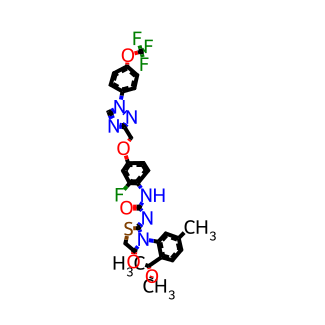 COC(C)c1ccc(C)cc1N1C(=O)CS/C1=N\C(=O)Nc1ccc(OCc2ncn(-c3ccc(OC(F)(F)F)cc3)n2)cc1F